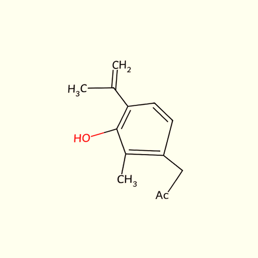 C=C(C)c1ccc(CC(C)=O)c(C)c1O